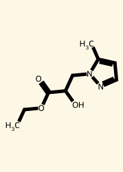 CCOC(=O)C(O)Cn1nccc1C